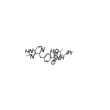 Cc1nc2c(Cc3ccc(S(=O)(=O)N[C@@H](CC(C)C)C(C)O)cc3)nccc2[nH]1